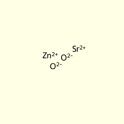 [O-2].[O-2].[Sr+2].[Zn+2]